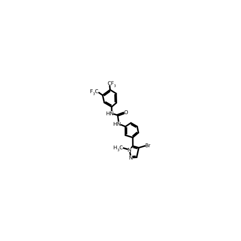 Cn1ncc(Br)c1-c1cccc(NC(=O)Nc2ccc(C(F)(F)F)c(C(F)(F)F)c2)c1